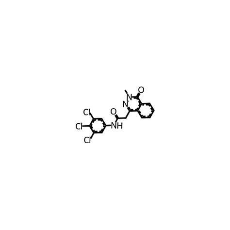 Cn1nc(CC(=O)Nc2cc(Cl)c(Cl)c(Cl)c2)c2ccccc2c1=O